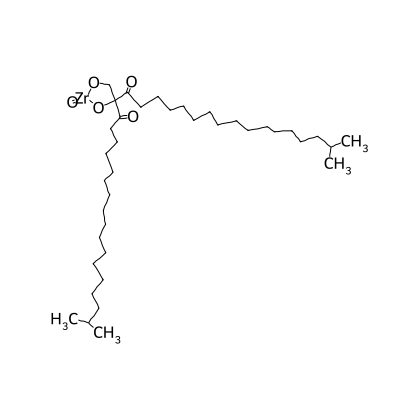 CC(C)CCCCCCCCCCCCCCC(=O)C1(C(=O)CCCCCCCCCCCCCCC(C)C)C[O][Zr](=[O])[O]1